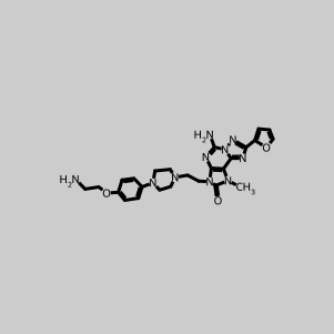 Cn1c(=O)n(CCN2CCN(c3ccc(OCCN)cc3)CC2)c2nc(N)n3nc(-c4ccco4)nc3c21